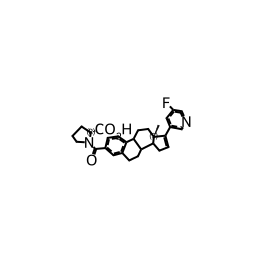 C[C@]12CCC3c4ccc(C(=O)N5CCC[C@@H]5C(=O)O)cc4CCC3C1CC=C2c1cncc(F)c1